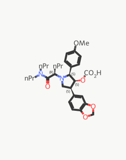 CCC[C@H](C(=O)N(CCC)CCC)N1C[C@H](c2ccc3c(c2)OCO3)[C@H](OC(=O)O)[C@@H]1c1ccc(OC)cc1